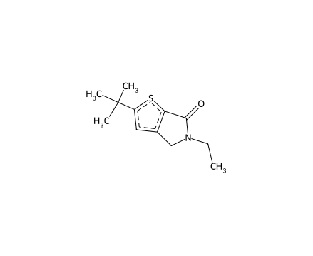 CCN1Cc2cc(C(C)(C)C)sc2C1=O